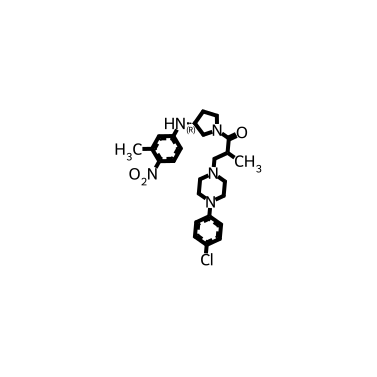 Cc1cc(N[C@@H]2CCN(C(=O)C(C)CN3CCN(c4ccc(Cl)cc4)CC3)C2)ccc1[N+](=O)[O-]